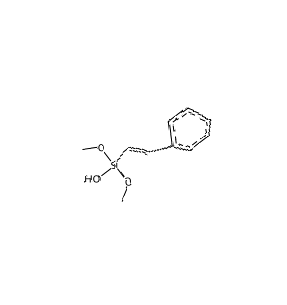 CO[Si](O)(C=Cc1ccccc1)OC